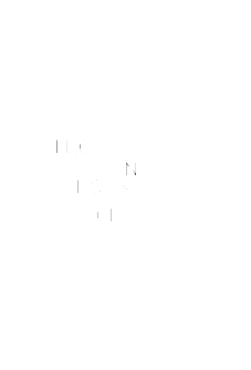 CCCN(SC(C)S)C1CCCCC1